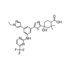 CCn1cc(-c2cc(Nc3nccc(C(F)(F)F)n3)cc(-c3cnc(C4(O)CCC(C(=O)O)C(C)(C)C4)s3)c2)cn1